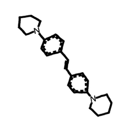 C(=C\c1ccc(N2CCCCC2)cc1)/c1ccc(N2CCCCC2)cc1